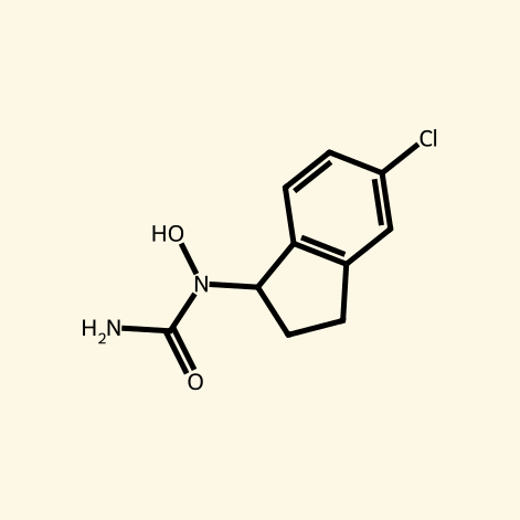 NC(=O)N(O)C1CCc2cc(Cl)ccc21